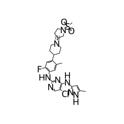 Cc1cc(Nc2nc(Nc3cc(C)c(C4CCN([C@H]5CCN(S(C)(=O)=O)C5)CC4)cc3F)ncc2Cl)n[nH]1